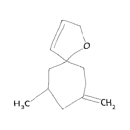 C=C1CC(C)CC2(C=CCO2)C1